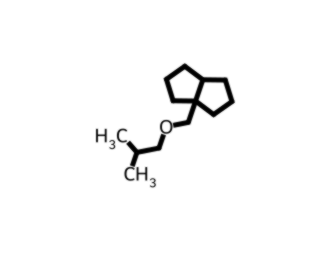 CC(C)COCC12CCCC1CCC2